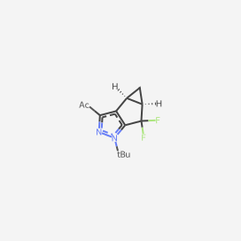 CC(=O)c1nn(C(C)(C)C)c2c1[C@H]1C[C@H]1C2(F)F